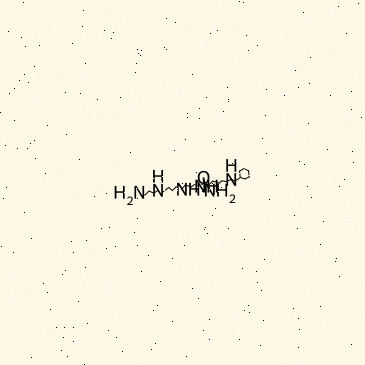 NCCCNCCCCNCCCNC(=O)C(N)CCCCNCC1CCCCC1